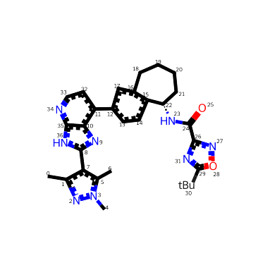 Cc1nn(C)c(C)c1-c1nc2c(-c3ccc4c(c3)CCCC[C@@H]4NC(=O)c3noc(C(C)(C)C)n3)ccnc2[nH]1